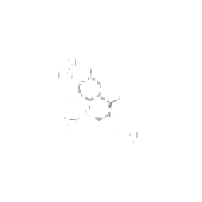 NNc1c(Cl)cc2c(=O)c(OC(=O)O)cn(C3CC3)c2c1F